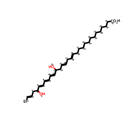 CCC=CCC(O)C=CC=CC=CC(O)CC=CCC=CCCCCCCCCCCCCC(=O)O